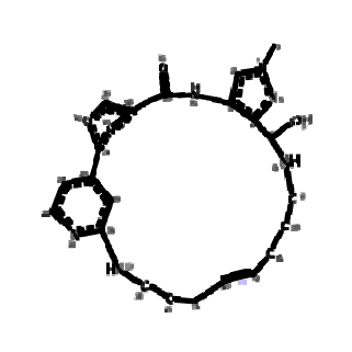 Cn1cc2c(n1)C(O)NCCC/C=C/CCCNc1cc(ccn1)-c1nc(co1)C(=O)N2